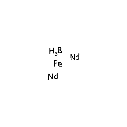 B.[Fe].[Nd].[Nd]